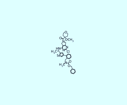 COC1(C(=O)N2Cc3nc(Cl)nc(N[C@H](C)c4cc(-c5ccccc5CN(C)C(=O)OCc5ccccc5)c[se]4)c3C2)CCOCC1